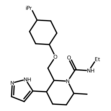 CCNC(=O)N1C(C)CCC(c2ccn[nH]2)C1COC1CCC(C(C)C)CC1